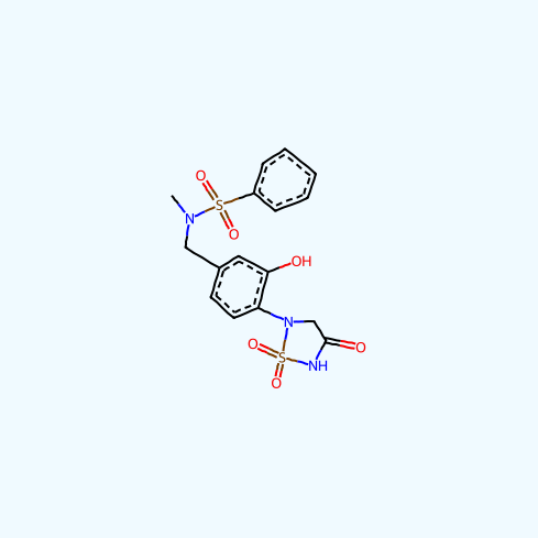 CN(Cc1ccc(N2CC(=O)NS2(=O)=O)c(O)c1)S(=O)(=O)c1ccccc1